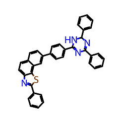 c1ccc(C2=NC(c3ccccc3)NC(c3ccc(-c4ccc5ccc6nc(-c7ccccc7)sc6c5c4)cc3)=N2)cc1